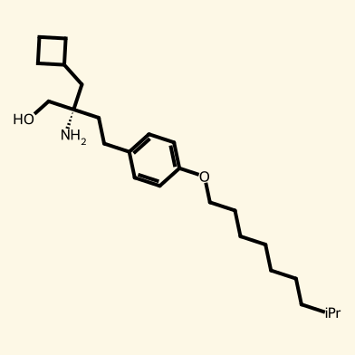 CC(C)CCCCCCCOc1ccc(CC[C@@](N)(CO)CC2CCC2)cc1